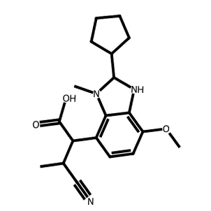 COc1ccc(C(C(=O)O)C(C)C#N)c2c1NC(C1CCCC1)N2C